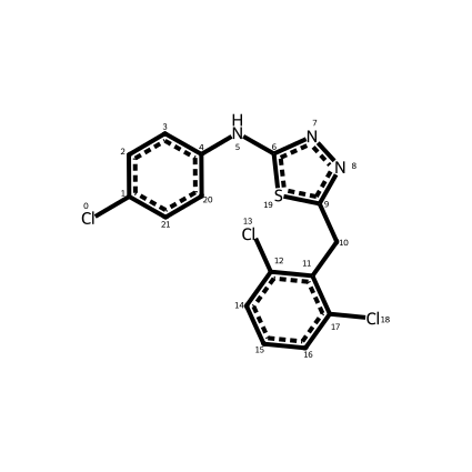 Clc1ccc(Nc2nnc(Cc3c(Cl)cccc3Cl)s2)cc1